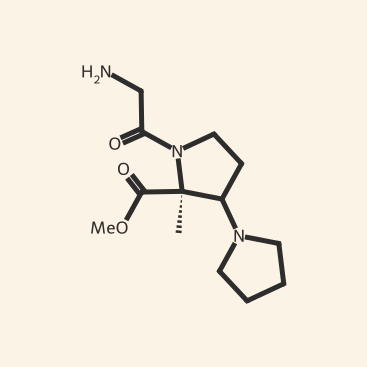 COC(=O)[C@]1(C)C(N2CCCC2)CCN1C(=O)CN